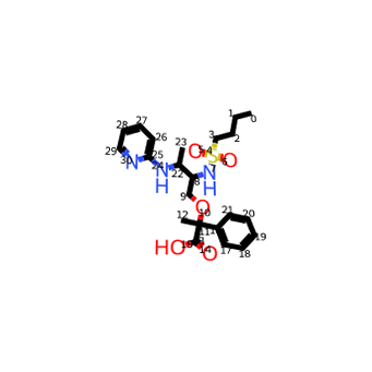 CCCCS(=O)(=O)NC(COC(C)(C(=O)O)c1ccccc1)C(C)Nc1ccccn1